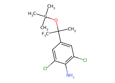 CC(O[Si](C)(C)C)(c1cc(Cl)c(N)c(Cl)c1)C(F)(F)F